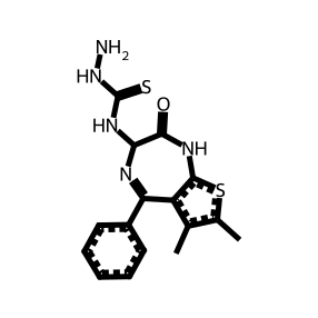 Cc1sc2c(c1C)C(c1ccccc1)=NC(NC(=S)NN)C(=O)N2